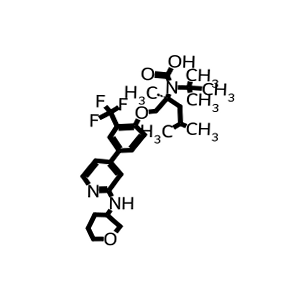 CC(C)C[C@@](C)(COc1ccc(-c2ccnc(NC3CCCOC3)c2)cc1C(F)(F)F)N(C(=O)O)C(C)(C)C